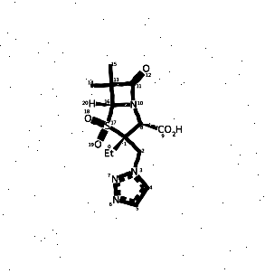 CC[C@]1(Cn2ccnn2)[C@H](C(=O)O)N2C(=O)C(C)(C)[C@H]2S1(=O)=O